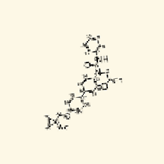 CCC1CN(C(=O)Nc2ccccc2)c2ccc(-c3ccc(OCC4(C(C)=O)CC4)nc3)cc2O1